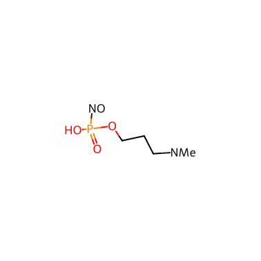 CNCCCOP(=O)(O)N=O